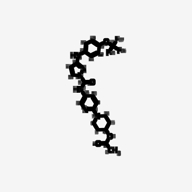 CC(=O)OC1CCN(c2ccc(NC(=O)n3ccc(Nc4ccc(OC(F)(F)F)cc4)n3)cn2)CC1